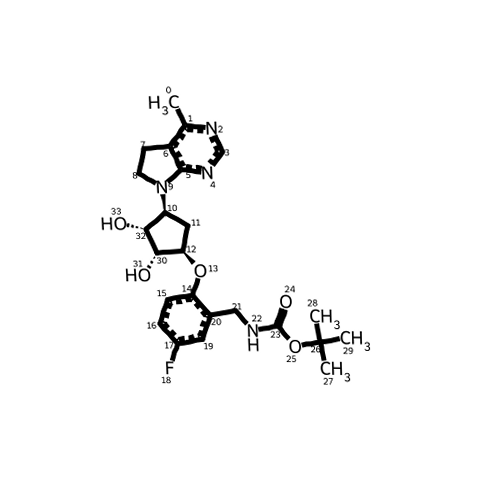 Cc1ncnc2c1CCN2[C@H]1C[C@@H](Oc2ccc(F)cc2CNC(=O)OC(C)(C)C)[C@H](O)[C@@H]1O